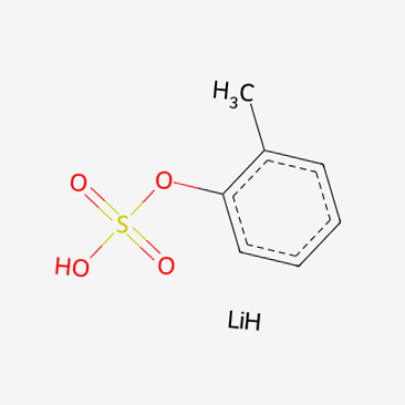 Cc1ccccc1OS(=O)(=O)O.[LiH]